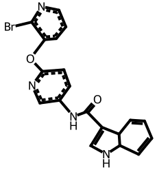 O=C(Nc1ccc(Oc2cccnc2Br)nc1)C1=CNC2C=CC=CC12